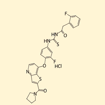 Cl.O=C(Cc1ccccc1F)NC(=S)Nc1ccc(Oc2ccnc3cc(C(=O)N4CCCC4)sc23)c(F)c1